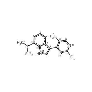 CP(C)c1cccc2c(-c3nc(Cl)ncc3C(F)(F)F)c[nH]c12